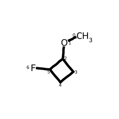 COC1CCC1F